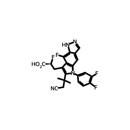 CC(C)(CC#N)c1c(C[C@H](F)C(=O)O)c2c(F)c3[nH]ncc3cc2n1-c1ccc(F)c(F)c1